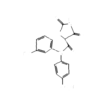 O=C(O)c1ccc(N(C(=S)C2SC(=S)NC2=O)c2cccc(C(F)(F)F)c2)cc1